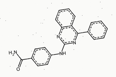 NC(=O)c1ccc(Nc2nc(-c3ccccc3)c3ccccc3n2)cc1